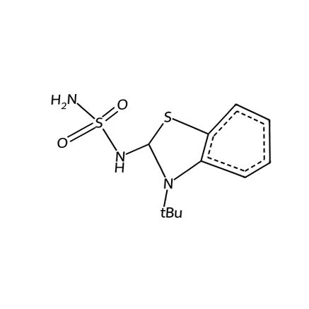 CC(C)(C)N1c2ccccc2SC1NS(N)(=O)=O